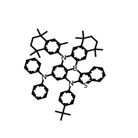 Cc1cc2c(cc1N1c3cc4c(cc3B3c5c1cc(N(c1ccccc1)c1ccccc1)cc5N(c1ccc(C(C)(C)C)cc1)c1sc5ccccc5c13)C(C)(C)CCC4(C)C)C(C)(C)CCC2(C)C